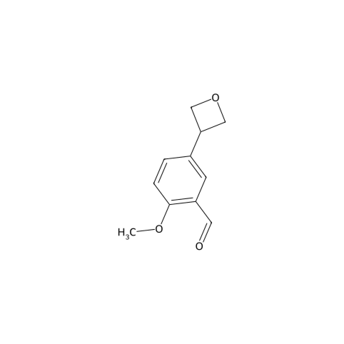 COc1ccc(C2COC2)cc1C=O